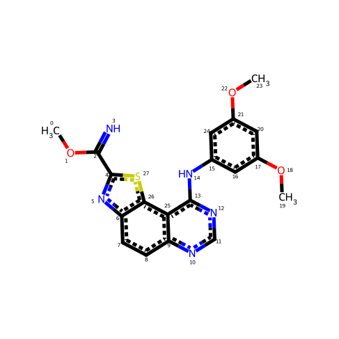 COC(=N)c1nc2ccc3ncnc(Nc4cc(OC)cc(OC)c4)c3c2s1